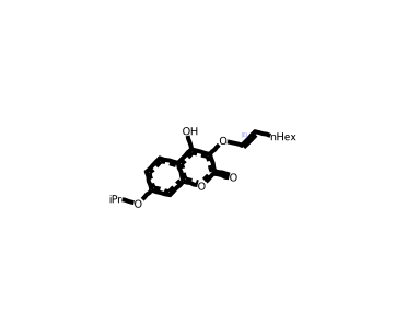 CCCCCC/C=C/Oc1c(O)c2ccc(OC(C)C)cc2oc1=O